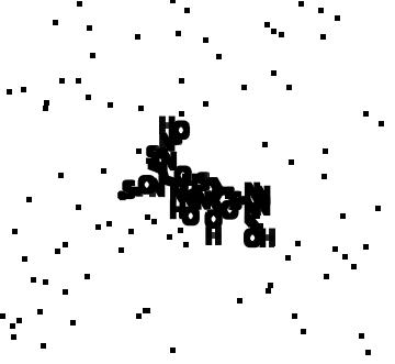 CSCON=C(C(=O)NC1C(=O)N2C(C(=O)O)=C(CSc3nnnn3CCO)CS[C@@H]12)c1csc(NC=O)n1